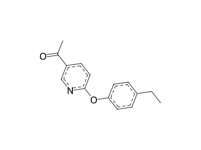 CCc1ccc(Oc2ccc(C(C)=O)cn2)cc1